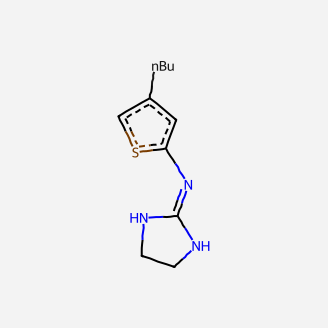 CCCCc1csc(N=C2NCCN2)c1